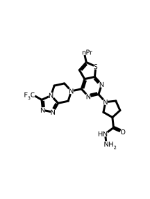 CCCc1cc2c(N3CCn4c(nnc4C(F)(F)F)C3)nc(N3CCC(C(=O)NN)C3)nc2s1